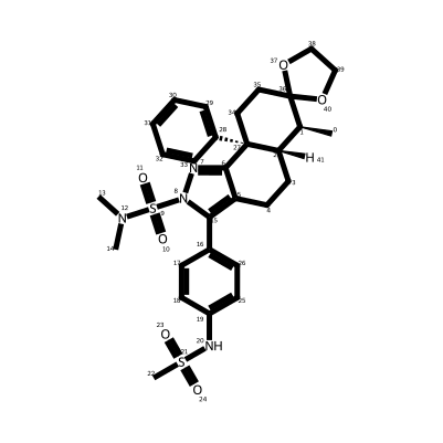 C[C@H]1[C@@H]2CCc3c(nn(S(=O)(=O)N(C)C)c3-c3ccc(NS(C)(=O)=O)cc3)[C@@]2(c2ccccc2)CCC12OCCO2